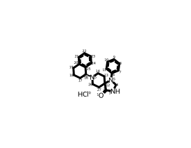 Cl.O=C1NCN(c2ccccc2)C12CCN([C@H]1CCCc3ccccc31)CC2